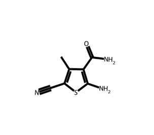 Cc1c(C#N)sc(N)c1C(N)=O